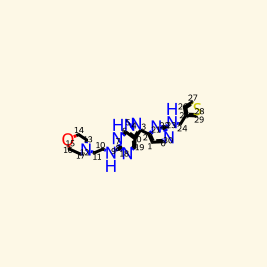 c1cc(-c2n[nH]c3nc(NCCN4CCOCC4)ncc23)nc(NCc2ccsc2)n1